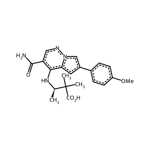 COc1ccc(-c2cc3c(N[C@H](C)C(C)(C)C(=O)O)c(C(N)=O)cnn3c2)cc1